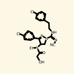 CCN(C(=O)CO)C1CN(/C(=N\C#N)NCCc2ccc(Cl)cc2)N=C1c1ccc(Cl)cc1